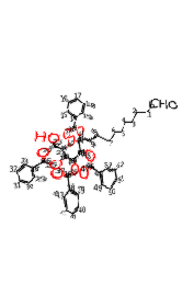 O=CCCCCCCCCC[C@]1(OC(=O)c2ccccc2)O[C@H](CO)[C@@H](OC(=O)c2ccccc2)[C@H](OC(=O)c2ccccc2)[C@H]1OC(=O)c1ccccc1